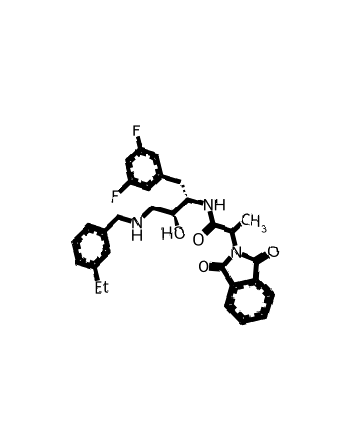 CCc1cccc(CNC[C@H](O)[C@H](Cc2cc(F)cc(F)c2)NC(=O)C(C)N2C(=O)c3ccccc3C2=O)c1